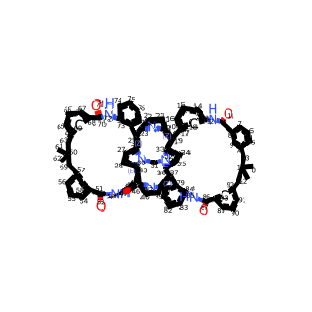 CC1(C)Cc2cccc(c2)C(=O)Nc2cccc(c2)/C2=C3\C=CC(=N3)/C3=c4/cc/c5n4Cn4c2ccc4/C(=C2/C=CC(=N2)/C=5c2ccccc2NC(=O)c2cccc(c2)CC(C)(C)Cc2cccc(c2)C(=O)Nc2ccccc23)c2ccccc2NC(=O)c2cccc(c2)C1